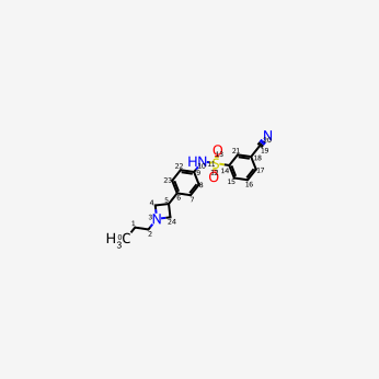 CCCN1CC(c2ccc(NS(=O)(=O)c3cccc(C#N)c3)cc2)C1